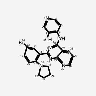 Cc1cnccc1Nc1nc(-c2cc(Br)ccc2N2CCCC2)nc2nccnc12